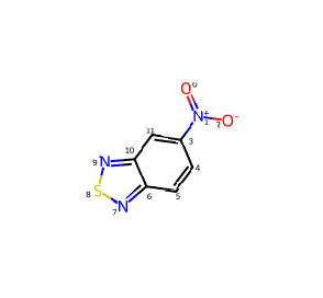 O=[N+]([O-])c1ccc2nsnc2c1